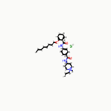 CCCCCCCCOc1ccccc1C(=O)Nc1ccc(C(=O)NC2CC[N+](C)(CCC)CC2)cc1.[Br-]